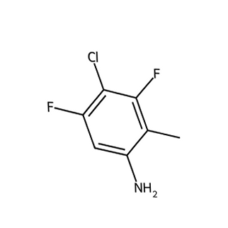 Cc1c(N)cc(F)c(Cl)c1F